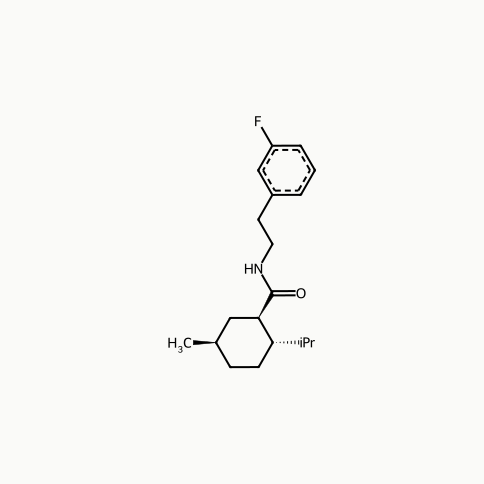 CC(C)[C@@H]1CC[C@@H](C)C[C@H]1C(=O)NCCc1cccc(F)c1